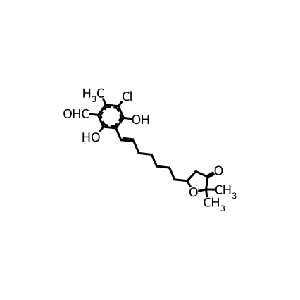 Cc1c(Cl)c(O)c(/C=C/CCCCCC2CC(=O)C(C)(C)O2)c(O)c1C=O